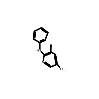 Cc1cnc(Nc2ccccc2)c(I)c1